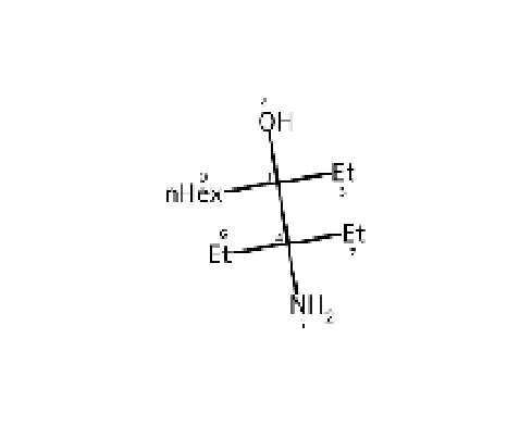 CCCCCCC(O)(CC)C(N)(CC)CC